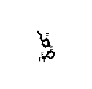 Fc1cc(SC2=CC(C(F)(F)F)CC=C2)ccc1CCCI